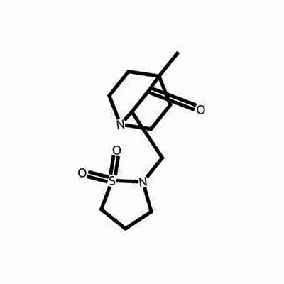 CC12CCN(CC1)C(CN1CCCS1(=O)=O)C2=O